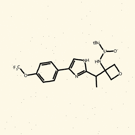 CC(c1nc(-c2ccc(OC(F)(F)F)cc2)c[nH]1)C1(N[S+]([O-])C(C)(C)C)COC1